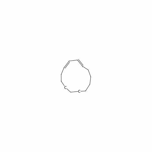 [C]1=C/C=C\CCCCCCCCC/1